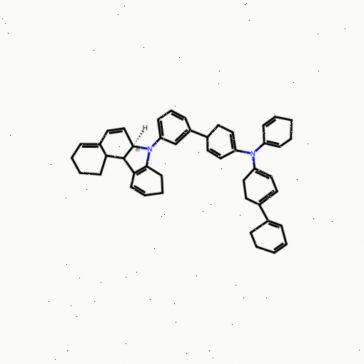 C1=CCCC(C2=CC=C(N(C3=CCCC=C3)C3=CCC(c4cccc(N5C6=C(C=CCC6)C6C7CCCC=C7C=C[C@H]65)c4)C=C3)CC2)=C1